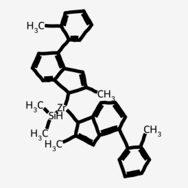 CC1=Cc2c(-c3ccccc3C)cccc2[CH]1[Zr]([CH]1C(C)=Cc2c(-c3ccccc3C)cccc21)[SiH](C)C